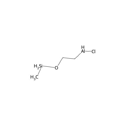 C[SiH2]OC[CH2][AlH][Cl]